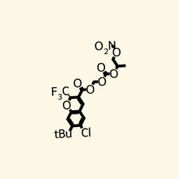 CC(CO[N+](=O)[O-])OC(=O)OCOC(=O)C1=Cc2cc(Cl)c(C(C)(C)C)cc2O[C@@H]1C(F)(F)F